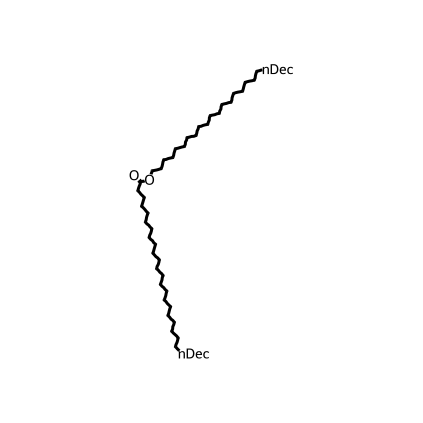 CCCCCCCCCCCCCCCCCCCCCCCCCCCCCCCC(=O)OCCCCCCCCCCCCCCCCCCCCCCCCCCCCC